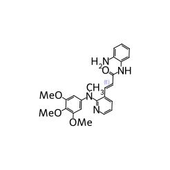 COc1cc(N(C)c2ncccc2/C=C/C(=O)Nc2ccccc2N)cc(OC)c1OC